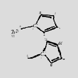 C[c-]1cccc1.C[c-]1cccc1.[Zr+2]